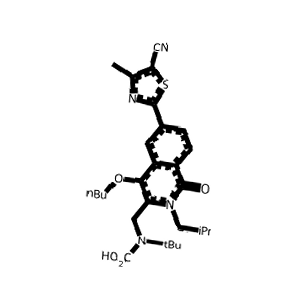 CCCCOc1c(CN(C(=O)O)C(C)(C)C)n(CC(C)C)c(=O)c2ccc(-c3nc(C)c(C#N)s3)cc12